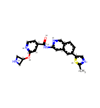 Cc1ncc(-c2ccc3cnc(NC(=O)c4ccnc(OC5CNC5)c4)cc3c2)s1